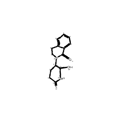 O=C1c2ccccc2CCN1C1CCC(=S)NC1O